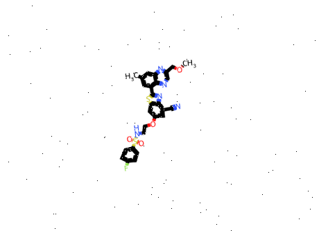 COCc1cnc2c(-c3nc4c(C#N)cc(OCCNS(=O)(=O)c5ccc(F)cc5)cc4s3)cc(C)cc2n1